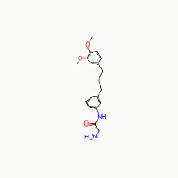 COc1ccc(CCCc2cccc(NC(=O)CN)c2)cc1OC